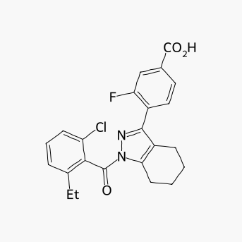 CCc1cccc(Cl)c1C(=O)n1nc(-c2ccc(C(=O)O)cc2F)c2c1CCCC2